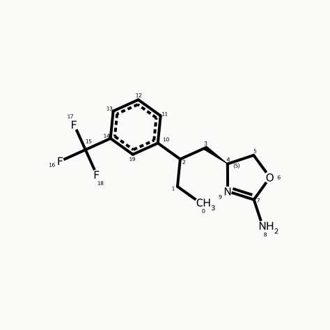 CCC(C[C@H]1COC(N)=N1)c1cccc(C(F)(F)F)c1